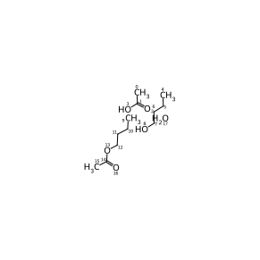 CC(=O)O.CCCCO.CCCCOC(C)=O.O